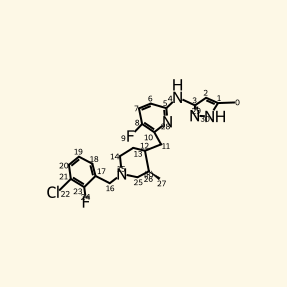 Cc1cc(Nc2ccc(F)c(CC3CCN(Cc4cccc(Cl)c4F)C[C@@H]3C)n2)n[nH]1